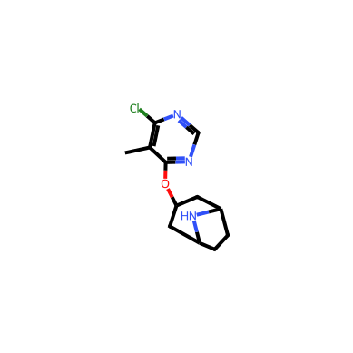 Cc1c(Cl)ncnc1OC1CC2CCC(C1)N2